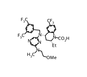 CC[C@@H]1C[C@H](N(Cc2cc(C(F)(F)F)cc(C(F)(F)F)c2)c2cncc(N(C)CCOC)n2)c2cc(C(F)(F)F)ccc2N1C(=O)O